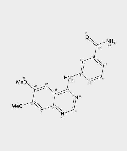 COc1cc2ncnc(Nc3cccc(C(N)=O)c3)c2cc1OC